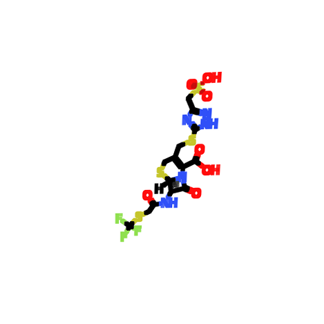 O=C(CSC(F)(F)F)NC1C(=O)N2C(C(=O)O)=C(CSc3nc(CS(=O)(=O)O)n[nH]3)CS[C@@H]12